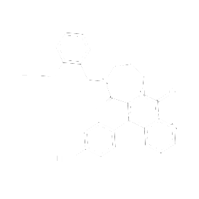 COc1ccccc1CN1CCCn2c(c(-c3ccc(C)cc3)c3cccnc3c2=O)C1=O